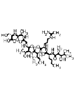 C=C(N)NCCC[C@@H](NC(=O)[C@H](CCCC)NC(=O)[C@@H](N)[C@H](O)C(C)C)C(=O)N[C@H](C(=O)N[C@H](C(=O)NCC(=O)N[C@@H](C)C(=O)N[C@@H](CO)C(=O)O)[C@H](C)O)[C@@H](C)CC